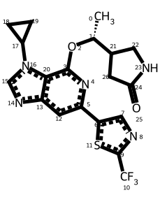 C[C@@H](Oc1nc(-c2cnc(C(F)(F)F)s2)cc2ncn(C3CC3)c12)C1CNC(=O)C1